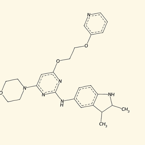 CC1Nc2ccc(Nc3nc(OCCOc4cccnc4)cc(N4CCOCC4)n3)cc2C1C